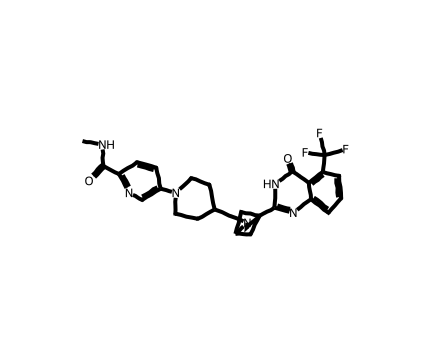 CNC(=O)c1ccc(N2CCC(N3CC4(c5nc6cccc(C(F)(F)F)c6c(=O)[nH]5)CC3C4)CC2)cn1